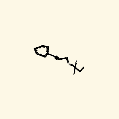 CCC(F)(F)OCC#Cc1ccccc1